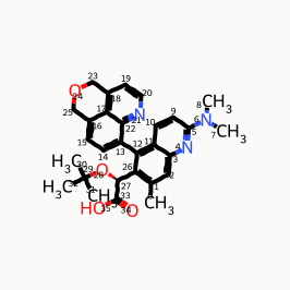 Cc1cc2nc(N(C)C)ccc2c(-c2ccc3c4c(ccnc24)COC3)c1[C@H](OC(C)(C)C)C(=O)O